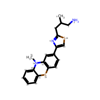 CC(CN)Cc1nc(-c2ccc3c(c2)N(C)c2ccccc2S3)cs1